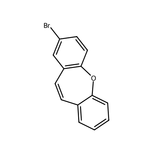 Brc1ccc2c(c1)C=Cc1ccccc1O2